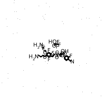 N#Cc1ccc(OP(=O)(O)CNS(=O)(=O)c2cc3c(F)c(OCCCN)c(OCCCN)c(F)c3s2)cc1F.O=C(O)C(F)(F)F